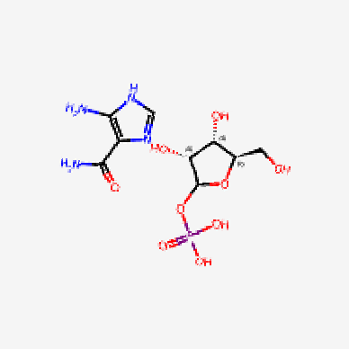 NC(=O)c1nc[nH]c1N.O=P(O)(O)OC1O[C@H](CO)[C@@H](O)[C@H]1O